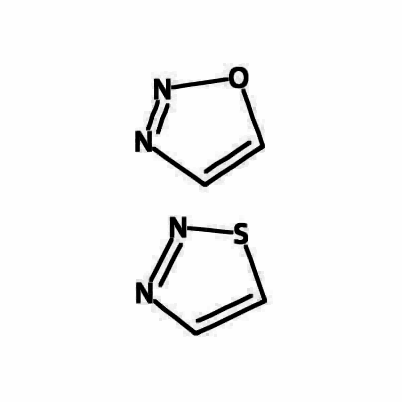 c1conn1.c1csnn1